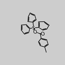 Cc1ccc(C(=O)OS(c2ccccc2)(c2ccccc2)c2ccccc2)cc1